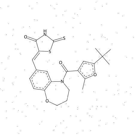 Cc1oc(C(C)(C)C)cc1C(=O)N1CCCOc2ccc(C=C3SC(=S)NC3=O)cc21